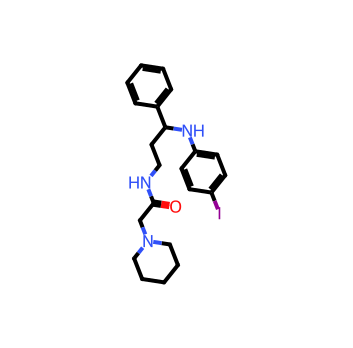 O=C(CN1CCCCC1)NCCC(Nc1ccc(I)cc1)c1ccccc1